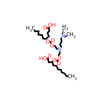 CCCCCCC(CCCC(=O)O)OC(=O)OCCN(CCCCN(CC)CC)CCOC(=O)OC(CCCCCC)CCCC(=O)O